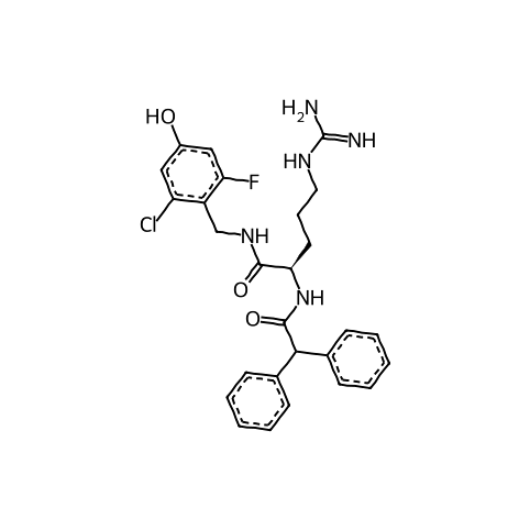 N=C(N)NCCC[C@@H](NC(=O)C(c1ccccc1)c1ccccc1)C(=O)NCc1c(F)cc(O)cc1Cl